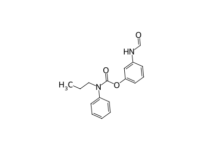 CCCN(C(=O)Oc1cccc(NC=O)c1)c1ccccc1